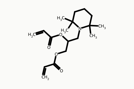 C=CC(=O)OCC(CN1C(C)(C)CCCC1(C)C)OC(=O)C=C